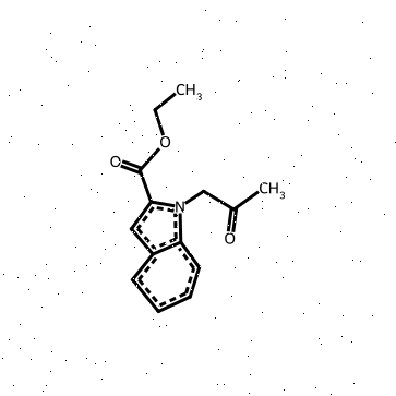 CCOC(=O)c1cc2ccccc2n1CC(C)=O